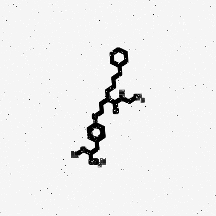 CCOC(Cc1ccc(OCCN(CCCCC2CCCCC2)C(=O)NCC(F)(F)F)cc1)C(=O)O